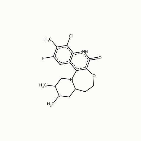 Cc1c(F)cc2c3c(c(=O)[nH]c2c1Cl)OCCC1CN(C)C(C)CN31